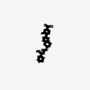 Cc1cc(C(=O)O)ccc1-c1ccc2c(c1)CC[C@@H](CNCC(O)c1cccnc1)O2